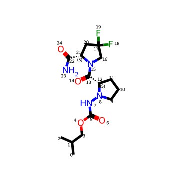 CC(C)COC(=O)NN1CCC[C@H]1C(=O)N1CC(F)(F)C[C@H]1C(N)=O